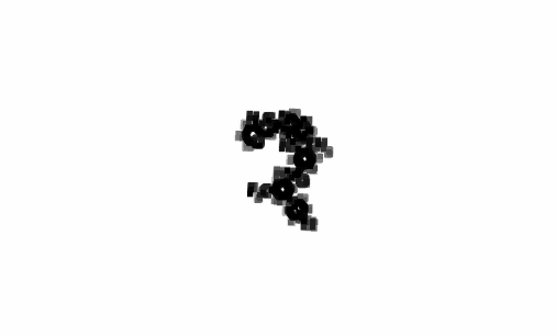 CCN1CCN(c2cc(NC(=O)c3ccc(C)c(Nc4ncnc5cnc(N(C)CC6CCCCO6)nc45)c3)cc(C(F)(F)F)c2)CC1